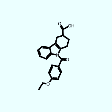 CCOc1ccc(C(=O)n2c3c(c4ccccc42)CC(C(=O)O)CC3)cc1